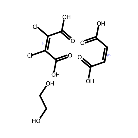 O=C(O)/C(Cl)=C(/Cl)C(=O)O.O=C(O)/C=C\C(=O)O.OCCO